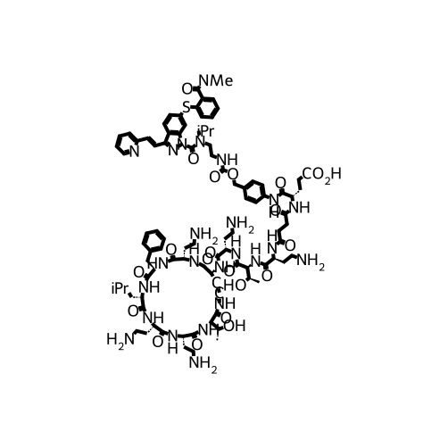 CNC(=O)c1ccccc1Sc1ccc2c(/C=C/c3ccccn3)nn(C(=O)N(CCNC(=O)OCc3ccc(NC(=O)[C@H](CCC(=O)O)NC(=O)CCC(=O)N[C@@H](CCN)C(=O)N[C@H](C(=O)N[C@@H](CCN)C(=O)N[C@H]4CCNC(=O)[C@H]([C@@H](C)O)NC(=O)[C@H](CCN)NC(=O)[C@H](CCN)NC(=O)[C@H](CC(C)C)NC(=O)[C@@H](Cc5ccccc5)NC(=O)[C@H](CCN)NC4=O)[C@@H](C)O)cc3)C(C)C)c2c1